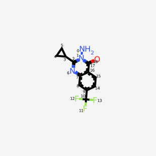 Nn1c(C2CC2)nc2cc(C(F)(F)F)ccc2c1=O